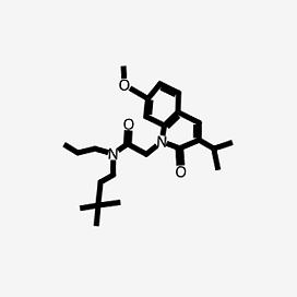 CCCN(CCC(C)(C)C)C(=O)Cn1c(=O)c(C(C)C)cc2ccc(OC)cc21